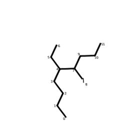 CCCCC(CC)C(I)CCC